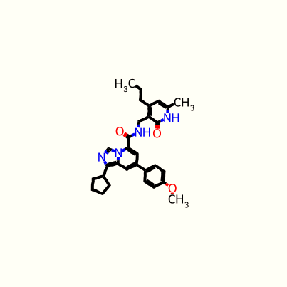 CCCc1cc(C)[nH]c(=O)c1CNC(=O)c1cc(-c2ccc(OC)cc2)cc2c(C3CCCC3)ncn12